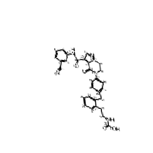 N#Cc1cccc(NC(=O)c2cnn3c2C(=O)N(c2ccc(Cc4ccccc4CCNC(=O)O)cc2)CC3)c1